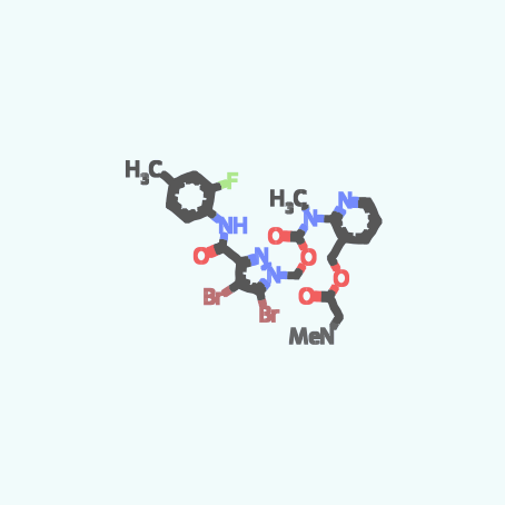 CNCC(=O)OCc1cccnc1N(C)C(=O)OCn1nc(C(=O)Nc2ccc(C)cc2F)c(Br)c1Br